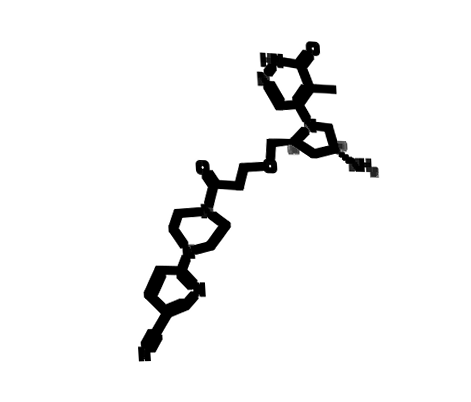 Cc1c(N2C[C@H](N)C[C@H]2COCCC(=O)N2CCN(c3ccc(C#N)cn3)CC2)cn[nH]c1=O